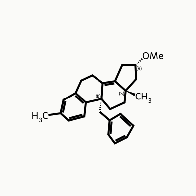 CO[C@H]1CC2=C3CCc4cc(C)ccc4[C@]3(Cc3ccccc3)CC[C@@]2(C)C1